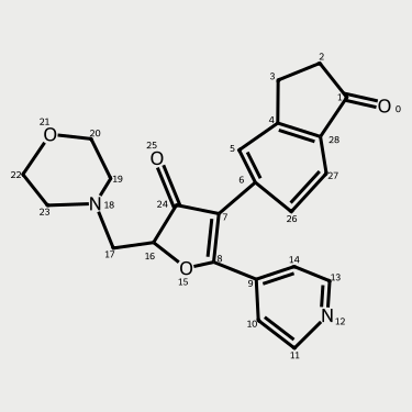 O=C1CCc2cc(C3=C(c4ccncc4)OC(CN4CCOCC4)C3=O)ccc21